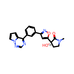 CN1CC[C@@](O)(c2cc(-c3cccc(-c4ncnn5cccc45)c3)no2)C1=O